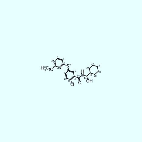 COc1nccc(Sc2ccc(Cl)c(C(=O)NC(O)C3CCCCC3)c2)n1